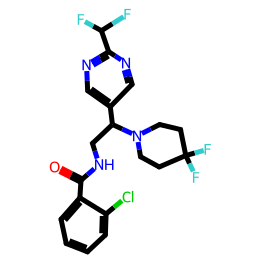 O=C(NCC(c1cnc(C(F)F)nc1)N1CCC(F)(F)CC1)c1ccccc1Cl